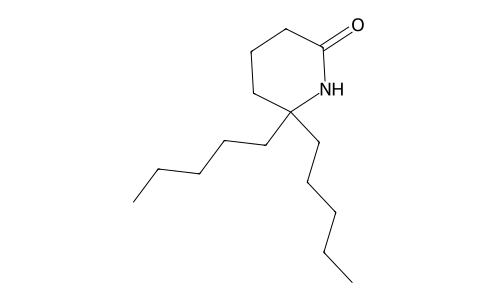 CCCCCC1(CCCCC)CCCC(=O)N1